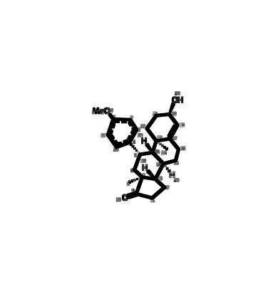 COc1ccc([C@H]2C[C@]3(C)C(=O)CC[C@H]3[C@@H]3CCC4=C[C@H](O)CC[C@]4(C)[C@H]32)cc1